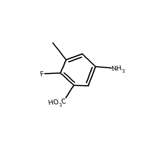 Cc1cc(N)cc(C(=O)O)c1F